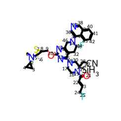 CN(C1CC1)[C@@]1(C)SC1COc1nc2c(c(N3CCN(C(=O)/C=C/CF)[C@]([SiH3])(CC#N)C3)n1)CCN(c1cncc3cccc(F)c13)C2